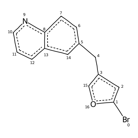 Brc1cc(Cc2ccc3ncccc3c2)co1